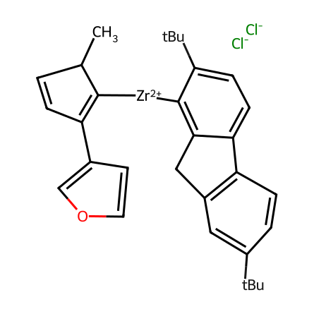 CC1C=CC(c2ccoc2)=[C]1[Zr+2][c]1c(C(C)(C)C)ccc2c1Cc1cc(C(C)(C)C)ccc1-2.[Cl-].[Cl-]